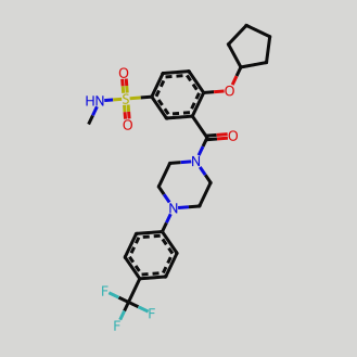 CNS(=O)(=O)c1ccc(OC2CCCC2)c(C(=O)N2CCN(c3ccc(C(F)(F)F)cc3)CC2)c1